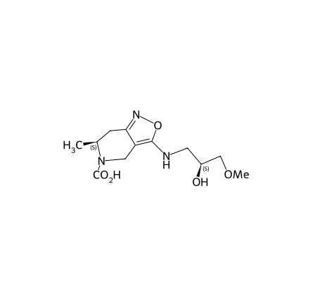 COC[C@@H](O)CNc1onc2c1CN(C(=O)O)[C@@H](C)C2